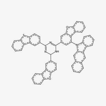 c1ccc2cc3c(cc2c1)c1ccccc1n3-c1cc(C2=NC(c3ccc4sc5ccccc5c4c3)=NC(c3ccc4oc5ccccc5c4c3)N2)cc2oc3ccccc3c12